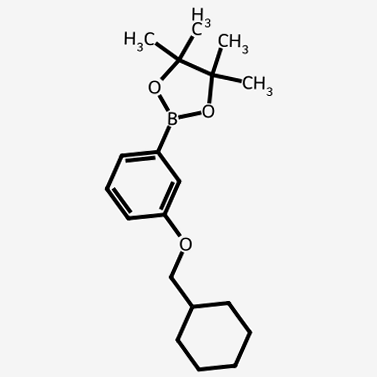 CC1(C)OB(c2cccc(OCC3CCCCC3)c2)OC1(C)C